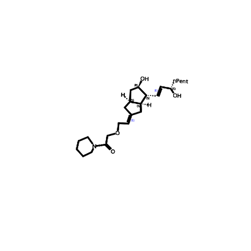 CCCCC[C@H](O)/C=C/[C@@H]1[C@H]2C/C(=C/COCC(=O)N3CCCCC3)C[C@H]2C[C@H]1O